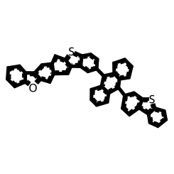 c1ccc2c(c1)oc1cc3cc4c(cc3cc12)sc1ccc(-c2c3ccccc3c(-c3ccc5c(c3)sc3ccccc35)c3ccccc23)cc14